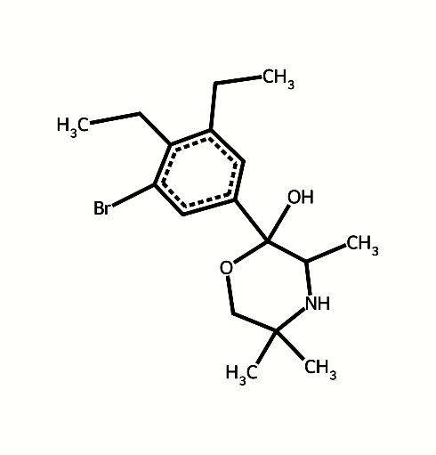 CCc1cc(C2(O)OCC(C)(C)NC2C)cc(Br)c1CC